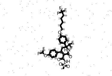 CS(=O)(=O)NC(=O)C1=C(c2ccc(OC(F)F)cc2)CC(c2ccc(OCCCCCC(F)(F)F)cc2)(C(F)(F)F)NC1=O